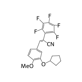 COc1ccc(/C=C(\C#N)c2c(F)c(F)c(F)c(F)c2F)cc1OC1CCCC1